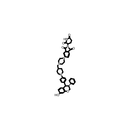 O=C1CCC(N2C(=O)c3ccc(N4CCN(CC5CCN(c6ccc(C7c8ccc(O)cc8OC[C@@H]7c7ccccc7)cc6)CC5)CC4)cc3C2=O)C(=O)N1